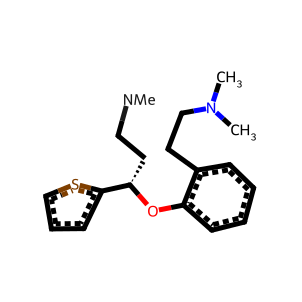 CNCC[C@H](Oc1ccccc1CCN(C)C)c1cccs1